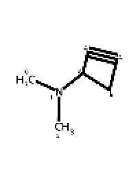 CN(C)C1C#CC1